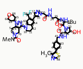 CNC(=O)N1CCc2c(c(N3CCCc4cc(-c5cnn(CC(=O)NCCC(=O)N[C@H](C(=O)N6C[C@H](O)C[C@H]6C(=O)NCc6ccc(-c7scnc7C)cc6)C(C)(C)C)c5)c(C(F)F)cc43)nn2C2CCOCC2)C1